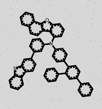 c1ccc(-c2ccc(-c3ccc(N(c4cccc(-c5ccc6c(c5)sc5ccccc56)c4)c4cccc5oc6c7ccccc7ccc6c45)cc3)c(-c3ccccc3)c2)cc1